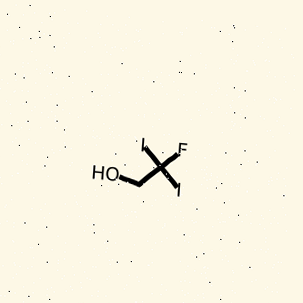 OCC(F)(I)I